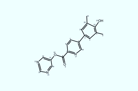 Cc1cc(-c2ccc(C(=O)Oc3cncnc3)nc2)cc(C)c1O